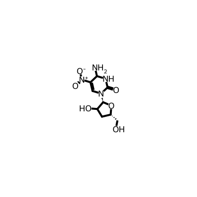 NC1NC(=O)N([C@@H]2O[C@H](CO)CC2O)C=C1[N+](=O)[O-]